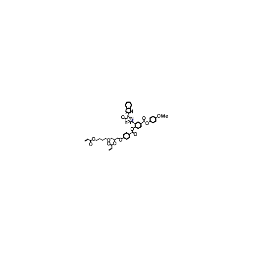 C=CC(=O)OCCCCOCC(COc1ccc(C(=O)Oc2ccc(C(=O)Oc3ccc(OC)cc3)cc2/C=N/N(C(=O)CCC)c2nc3ccccc3s2)cc1)OC(=O)C=C